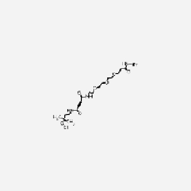 CCOC(C)(C)CCNC(=O)C#CC(=O)NCCOCCOCCOCCC(=O)NC(C)C